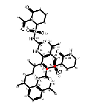 CC(=O)N1C(=O)CCCC1S(=O)(=O)NC(=O)Nc1c(C(C)C)cc(Cl)cc1C(C)CCC(C)c1cccc(C(C)C)c1NC(=O)NS(=O)(=O)C1CCCNC1=O